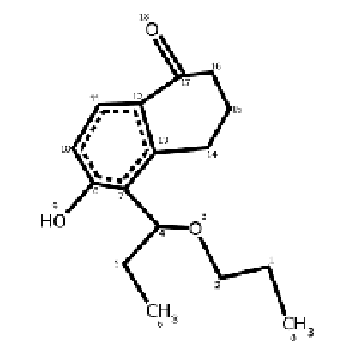 CCCOC(CC)c1c(O)ccc2c1CCCC2=O